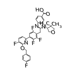 CC1(C)COCC1n1c(Cc2c(F)cc(-c3ccc(F)c(OCc4ccc(F)cc4)n3)c(F)c2F)nc2ccc(C(=O)O)cc21